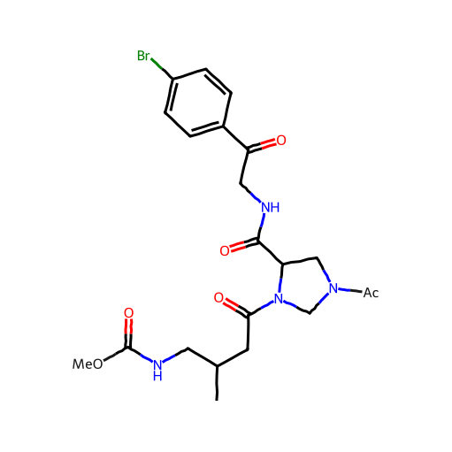 COC(=O)NCC(C)CC(=O)N1CN(C(C)=O)CC1C(=O)NCC(=O)c1ccc(Br)cc1